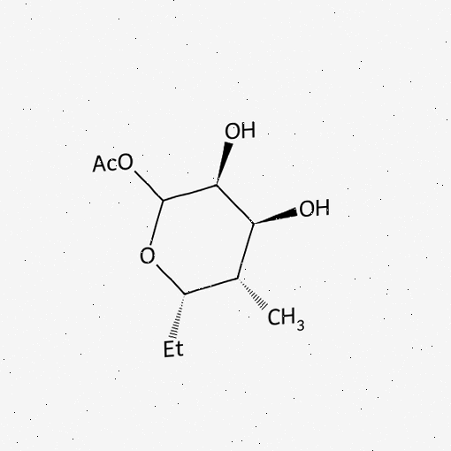 CC[C@@H]1OC(OC(C)=O)[C@@H](O)[C@@H](O)[C@@H]1C